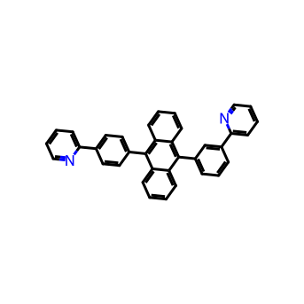 c1ccc(-c2ccc(-c3c4ccccc4c(-c4cccc(-c5ccccn5)c4)c4ccccc34)cc2)nc1